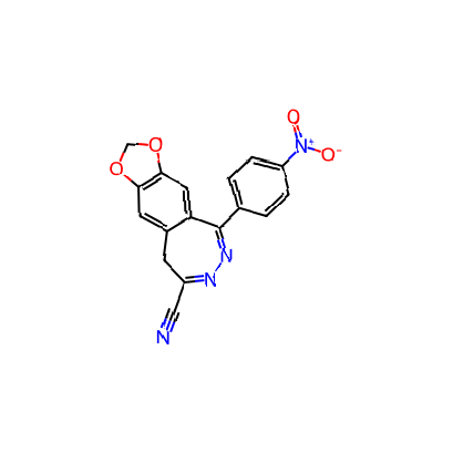 N#CC1=NN=C(c2ccc([N+](=O)[O-])cc2)c2cc3c(cc2C1)OCO3